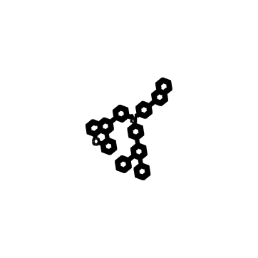 c1ccc(-c2ccc(-c3ccc(N(c4ccc(-c5ccc6ccccc6c5)cc4)c4cccc(-c5cc6c7c(cccc7c5)Oc5ccccc5-6)c4)cc3)cc2-c2ccccc2)cc1